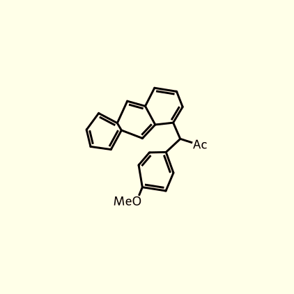 COc1ccc(C(C(C)=O)c2cccc3cc4ccccc4cc23)cc1